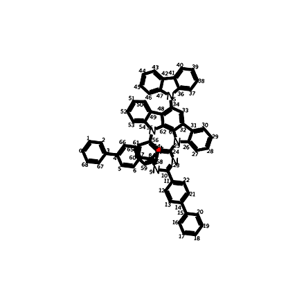 c1ccc(-c2ccc(-c3nc(-c4ccc(-c5ccccc5)cc4)nc(-n4c5ccccc5c5cc(-n6c7ccccc7c7ccccc76)c6c7ccccc7n(-c7ccccc7)c6c54)n3)cc2)cc1